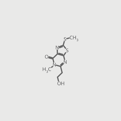 CSc1nc2c(=O)n(C)c(CCO)nc2s1